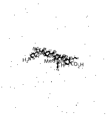 C=CCOc1c(C(=O)O)ccc(NC(=O)c2ccc(NC(=O)c3ccc(NC(=O)C(CC#N)NC(=O)c4ccc(N)cn4)cc3)c(OC)c2OCC=C)c1OC